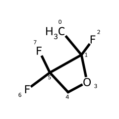 CC1(F)OCC1(F)F